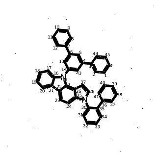 c1ccc(-c2cc(-c3ccccc3)cc(-n3c4ccccc4c4ccc5c(ccn5-c5ccccc5-c5ccccc5)c43)c2)cc1